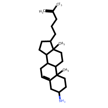 C=C(CCCC1CCC2C3CC=C4CC(N)CCC4(C)C3CCC12C)C(F)(F)F